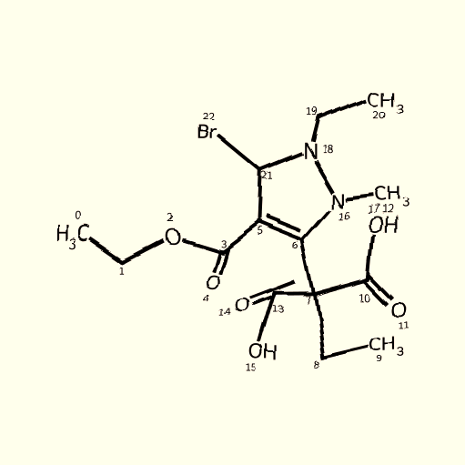 CCOC(=O)C1=C(C(CC)(C(=O)O)C(=O)O)N(C)N(CC)C1Br